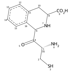 N[C@H](CS)C(=O)C1NC(C(=O)O)Cc2ccccc21